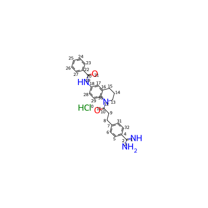 Cl.N=C(N)c1ccc(CCC(=O)N2CCCc3cc(NC(=O)c4ccccc4)ccc32)cc1